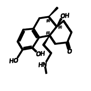 CNCC[C@]12CC(=O)CC[C@@]1(O)[C@H](C)Cc1ccc(O)c(O)c12